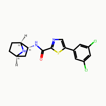 O=C(N[C@@H]1C[C@H]2CC[C@@H]1N2)c1ncc(-c2cc(Cl)cc(Cl)c2)s1